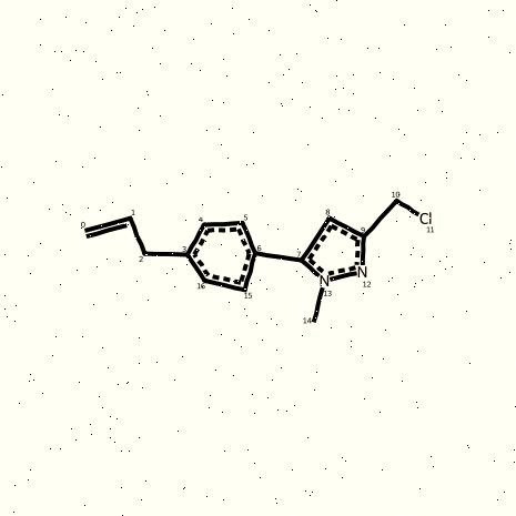 C=CCc1ccc(-c2cc(CCl)nn2C)cc1